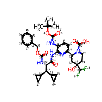 CC(C)(C)OC(=O)Nc1ccc([C@@H]2C[C@@](O)(C(F)F)CCN2C(=O)O)nc1NC(=O)[C@@H](NC(=O)OCc1ccccc1)C(C1CC1)C1CC1